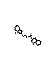 O=C(OCSc1nc2ccccc2[nH]1)c1cnc2ccccc2c1